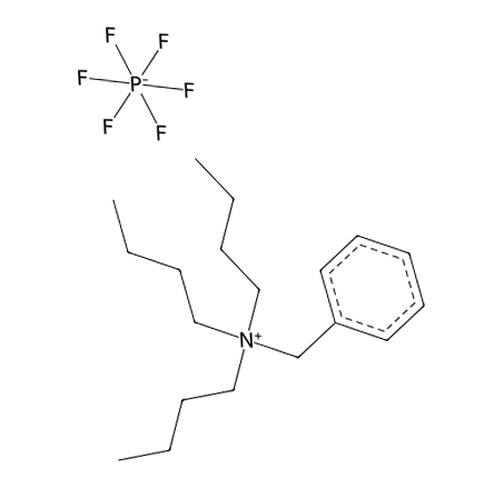 CCCC[N+](CCCC)(CCCC)Cc1ccccc1.F[P-](F)(F)(F)(F)F